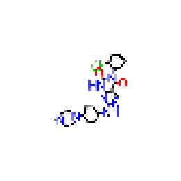 CN1CCN(c2ccc(Nc3ncc4c(=O)n(-c5ccccc5Cl)c(=O)[nH]c4n3)cc2)CC1